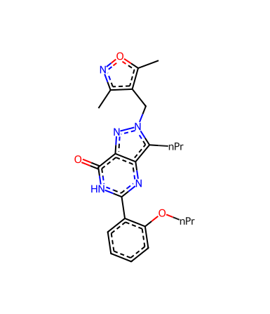 CCCOc1ccccc1-c1nc2c(CCC)n(Cc3c(C)noc3C)nc2c(=O)[nH]1